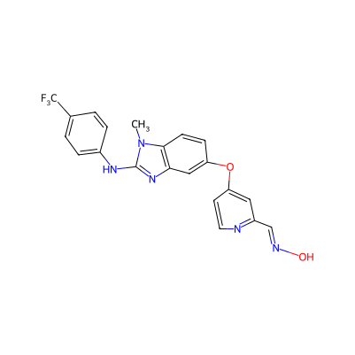 Cn1c(Nc2ccc(C(F)(F)F)cc2)nc2cc(Oc3ccnc(C=NO)c3)ccc21